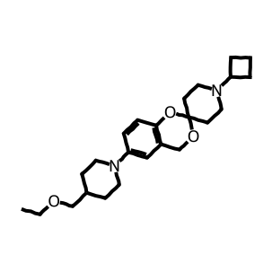 CCOCC1CCN(c2ccc3c(c2)COC2(CCN(C4CCC4)CC2)O3)CC1